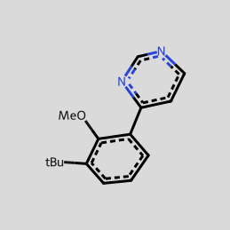 COc1c(-c2ccncn2)cccc1C(C)(C)C